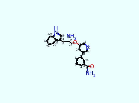 NC(=O)c1cccc(-c2cncc(OC[C@@H](N)Cc3c[nH]c4ccccc34)c2)c1